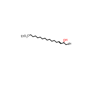 CCOC(=O)CCCCCCCCCCCCC=CC(O)CC(C)C